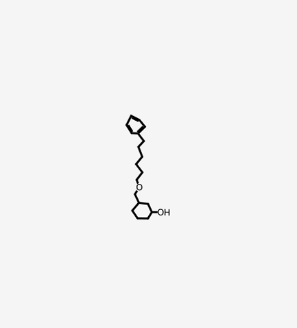 OC1CCCC(COCCCCCCc2ccccc2)C1